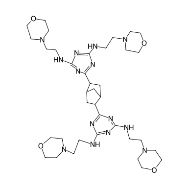 C(CN1CCOCC1)Nc1nc(NCCN2CCOCC2)nc(C2CC3CC2CC3c2nc(NCCN3CCOCC3)nc(NCCN3CCOCC3)n2)n1